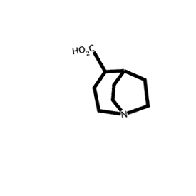 O=C(O)C1CCN2CCC1CC2